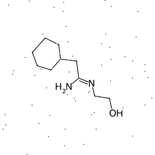 N/C(CC1CCCCC1)=N\CCO